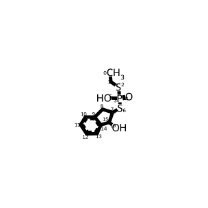 CCSP(=O)(O)SC1Cc2ccccc2C1O